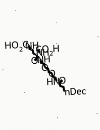 CCCCCCCCCCCCCC(=O)NCCOCCOCCNC(=O)C(CCCNC(=O)O)NC(=O)O